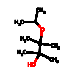 CC(C)O[Si](C)(C)C(C)(C)O